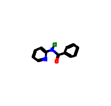 O=C(c1ccccc1)N(Cl)c1ccccn1